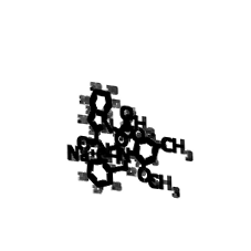 COc1cc(C)cc(OC)c1N(Cc1ccccc1)C(=O)N(C)C(=O)c1cc2ccccc2n1CC(=O)[O-].[Na+]